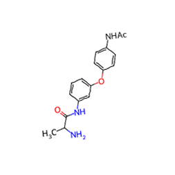 CC(=O)Nc1ccc(Oc2cccc(NC(=O)C(C)N)c2)cc1